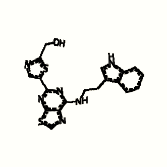 OCc1ncc(-c2nc(NCCc3c[nH]c4ccccc34)c3ncsc3n2)s1